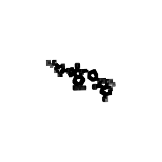 COc1ccc2c(c1)C1(CN(c3nnc(C)s3)C1)C(=O)N2C[C@H]1CC[C@H](NC(=O)c2cc(Cl)cnc2C)CC1